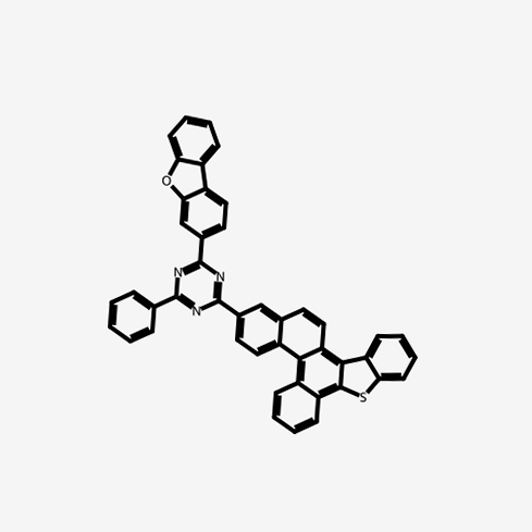 c1ccc(-c2nc(-c3ccc4c(ccc5c4c4ccccc4c4sc6ccccc6c54)c3)nc(-c3ccc4c(c3)oc3ccccc34)n2)cc1